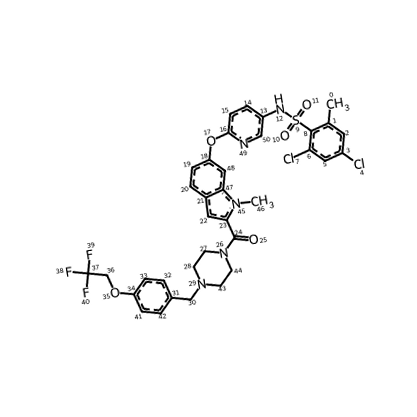 Cc1cc(Cl)cc(Cl)c1S(=O)(=O)Nc1ccc(Oc2ccc3cc(C(=O)N4CCN(Cc5ccc(OCC(F)(F)F)cc5)CC4)n(C)c3c2)nc1